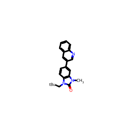 Cn1c(=O)n(CC(C)(C)C)c2ccc(-c3cnc4ccccc4c3)cc21